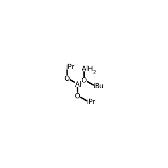 CC(C)[O][Al][O]C(C)C.CCC(C)[O][AlH2]